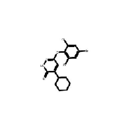 O=c1[nH]nc(Oc2c(Cl)cc(Br)cc2Cl)cc1C1CCCCC1